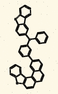 c1ccc(N(c2cccc(-c3ccc4ccc5ccc6oc7ccccc7c6c5c4c3)c2)c2ccc3oc4ccccc4c3c2)cc1